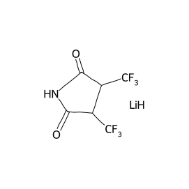 O=C1NC(=O)C(C(F)(F)F)C1C(F)(F)F.[LiH]